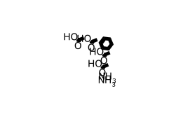 C1=CCCCC1.CC(=O)O.CC(=O)O.CC(=O)O.CC(=O)O.N.N